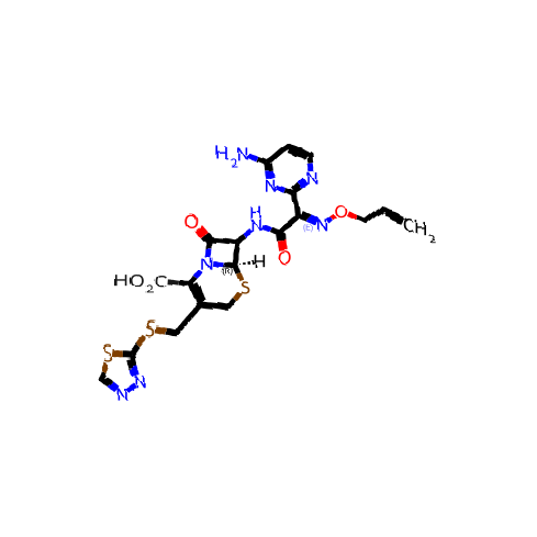 C=CCO/N=C(/C(=O)NC1C(=O)N2C(C(=O)O)=C(CSc3nncs3)CS[C@H]12)c1nccc(N)n1